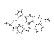 NC(=O)c1cccc2c1c1[c]cc(-c3ccco3)cc1n2Cc1ccc(OC(F)F)cc1